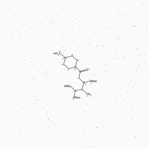 CCCCCCCCCN(CCCCCCCCC)C(C)N(CCCCCCCCC)CC(=O)N1CCN(C(=O)O)CC1